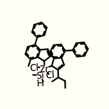 CCC(C)C1=Cc2c(-c3ccccc3)cccc2[CH]1[Zr]([Cl])([Cl])([CH]1C(C)=Cc2c(-c3ccccc3)ccc(C)c21)[SiH](C)C